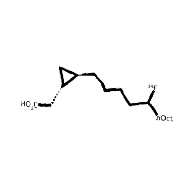 CCCCCCCCC([18F])CCCC[C@@H]1C[C@H]1CC(=O)O